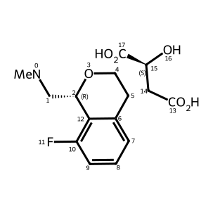 CNC[C@@H]1OCCc2cccc(F)c21.O=C(O)C[C@H](O)C(=O)O